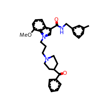 COc1cccc2c(C(=O)NCc3cccc(C)c3)cn(CCCN3CCC(C(=O)c4ccccc4)CC3)c12